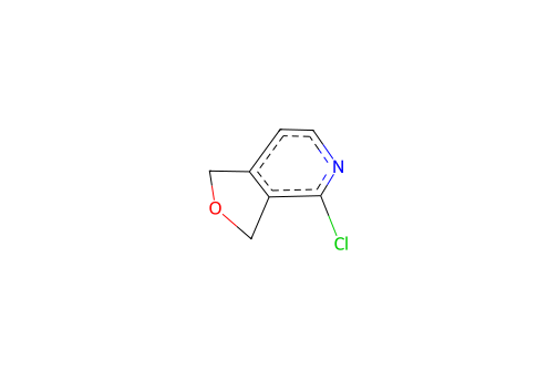 Clc1nccc2c1COC2